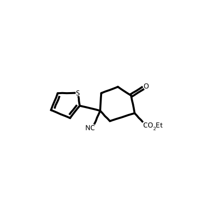 CCOC(=O)C1CC(C#N)(c2cccs2)CCC1=O